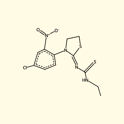 CCNC(=S)N=C1SCCN1c1ccc(Cl)cc1[N+](=O)[O-]